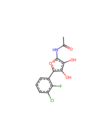 CC(=O)Nc1oc(-c2cccc(Cl)c2F)c(O)c1O